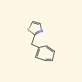 [c]1csc(Cc2ccccc2)n1